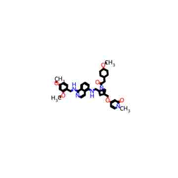 COc1ccc(CNc2nccc3c(NCC45CC(COc6ccn(C)c(=O)c6)(CN4C(=O)CC4CCC(OC)CC4)C5)cccc23)c(OC)c1